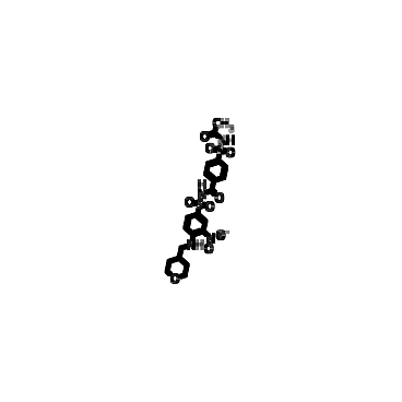 CC(=O)NS(=O)(=O)c1ccc(C(=O)NS(=O)(=O)c2ccc(NCC3CCOCC3)c([N+](=O)[O-])c2)cc1